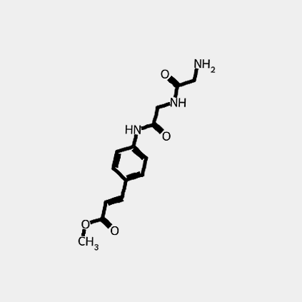 COC(=O)C=Cc1ccc(NC(=O)CNC(=O)CN)cc1